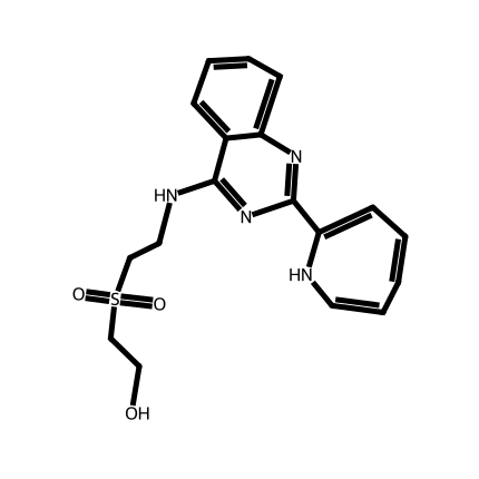 O=S(=O)(CCO)CCNc1nc(C2=CC=CC=CN2)nc2ccccc12